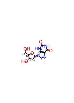 O=c1[nH]c(=O)c2ncn([C@H]3CC(O)[C@@H](CO)O3)c2[nH]1